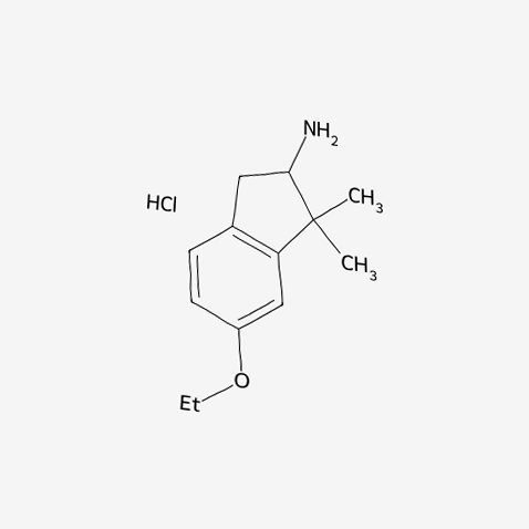 CCOc1ccc2c(c1)C(C)(C)C(N)C2.Cl